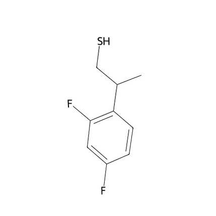 CC(CS)c1ccc(F)cc1F